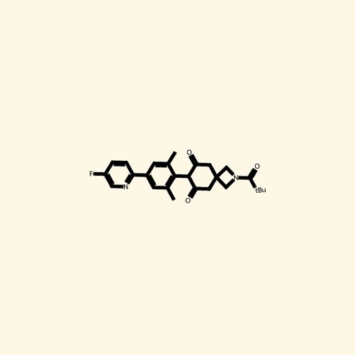 Cc1cc(-c2ccc(F)cn2)cc(C)c1C1C(=O)CC2(CC1=O)CN(C(=O)C(C)(C)C)C2